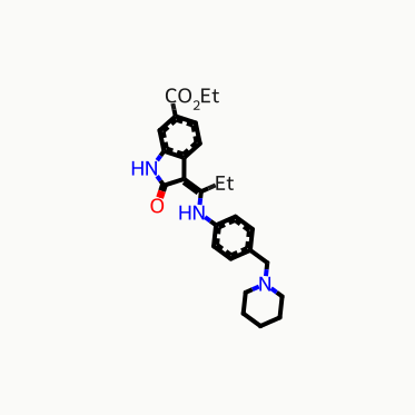 CCOC(=O)c1ccc2c(c1)NC(=O)/C2=C(/CC)Nc1ccc(CN2CCCCC2)cc1